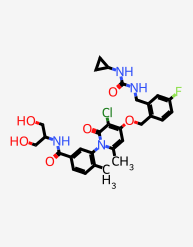 Cc1ccc(C(=O)NC(CO)CO)cc1-n1c(C)cc(OCc2ccc(F)cc2CNC(=O)NC2CC2)c(Cl)c1=O